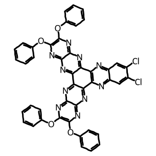 Clc1cc2nc3c(nc2cc1Cl)c1nc2nc(Oc4ccccc4)c(Oc4ccccc4)nc2nc1c1nc2nc(Oc4ccccc4)c(Oc4ccccc4)nc2nc31